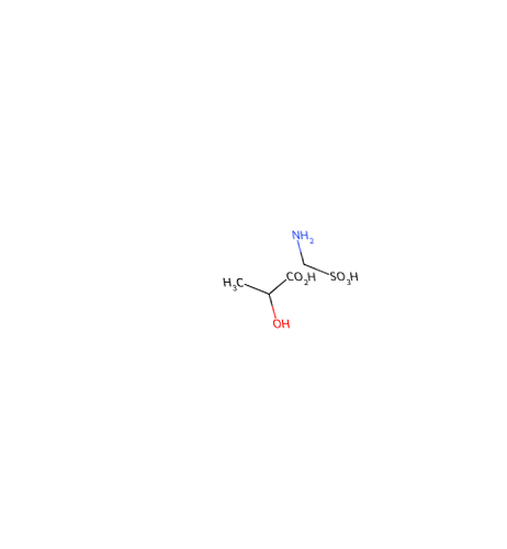 CC(O)C(=O)O.NCS(=O)(=O)O